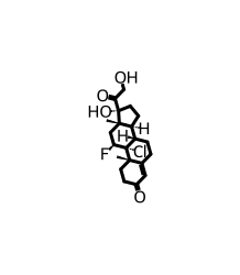 C[C@]12CCC(=O)C=C1CC[C@H]1[C@@H]3CC[C@](O)(C(=O)CO)[C@@]3(C)C[C@H](F)[C@@]12Cl